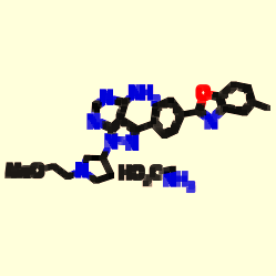 CC(=O)O.COCCN1CCC(n2nc(-c3ccc(-c4nc5cc(C)ccc5o4)cc3)c3c(N)ncnc32)C1.N